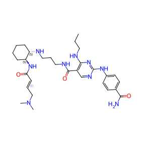 CCCNc1nc(Nc2ccc(C(N)=O)cc2)ncc1C(=O)NCCCN[C@H]1CCCC[C@@H]1NC(=O)/C=C/CN(C)C